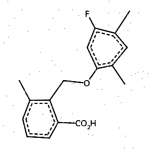 Cc1cc(C)c(OCc2c(C)cccc2C(=O)O)cc1F